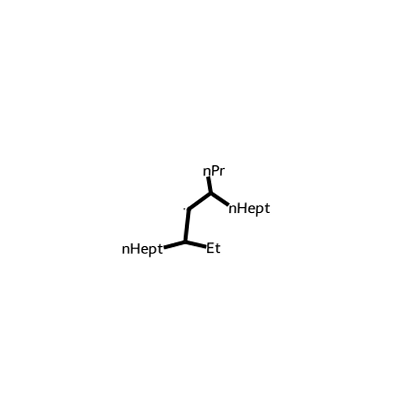 CCCCCCCC([CH]C(CCC)CCCCCCC)CC